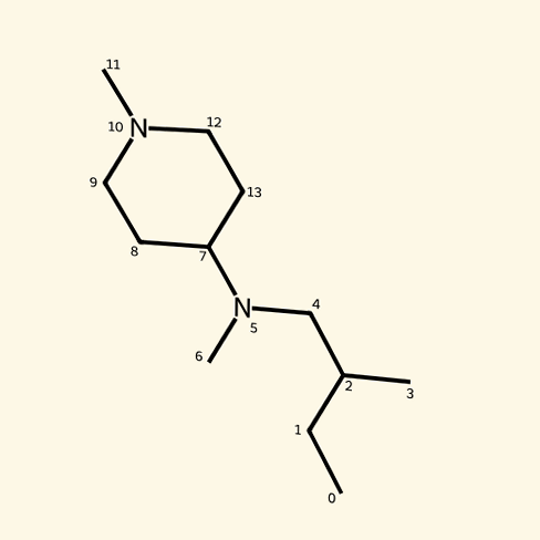 CCC(C)CN(C)C1CCN(C)CC1